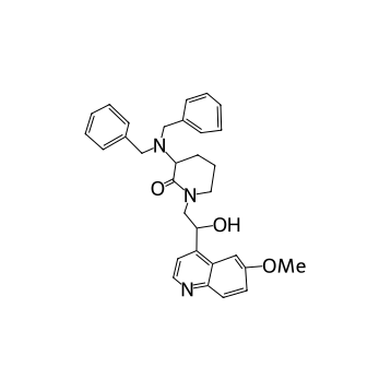 COc1ccc2nccc(C(O)CN3CCCC(N(Cc4ccccc4)Cc4ccccc4)C3=O)c2c1